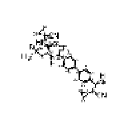 [H]/N=C(\c1ccc(-c2ccc(C(NC(CC(C)(C)F)C(=O)NC3(C#N)CC3)C(F)(F)F)cc2)cc1)N(C#N)C1CC1